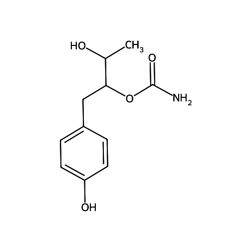 CC(O)C(Cc1ccc(O)cc1)OC(N)=O